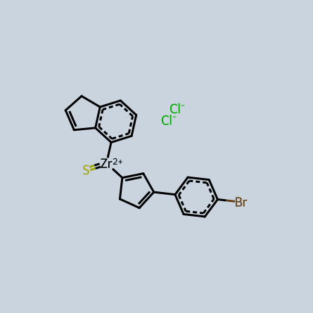 [Cl-].[Cl-].[S]=[Zr+2]([C]1=CC(c2ccc(Br)cc2)=CC1)[c]1cccc2c1C=CC2